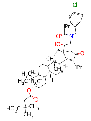 CC(C)C(=O)N(Cc1ccc(Cl)cc1)C[C@H](O)[C@@]12CC[C@]3(C)[C@H](CC[C@@H]4[C@@]5(C)CC[C@H](OC(=O)CC(C)(C)C(=O)O)C(C)(C)[C@H]5CC[C@]43C)C1=C(C(C)C)C(=O)C2